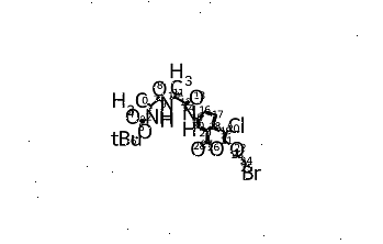 C[C@H](NC(=O)OC(C)(C)C)C(=O)N[C@@H](C)C(=O)Nc1ccc2c(Cl)c(OCCBr)oc(=O)c2c1